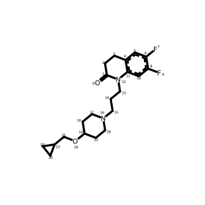 O=C1CCc2cc(F)c(F)cc2N1CCCN1CCC(OCC2CC2)CC1